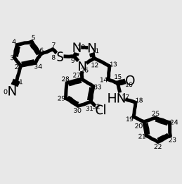 N#Cc1cccc(CSc2nnc(CCC(=O)NCCc3ccccc3)n2-c2cccc(Cl)c2)c1